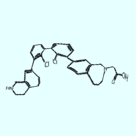 O=C(O)CN1CCc2ccc(-c3cccc(-c4cccc(-c5ccc6c(c5)CNCC6)c4Cl)c3Cl)cc2C1